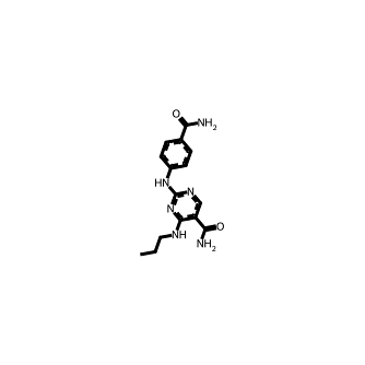 CCCNc1nc(Nc2ccc(C(N)=O)cc2)ncc1C(N)=O